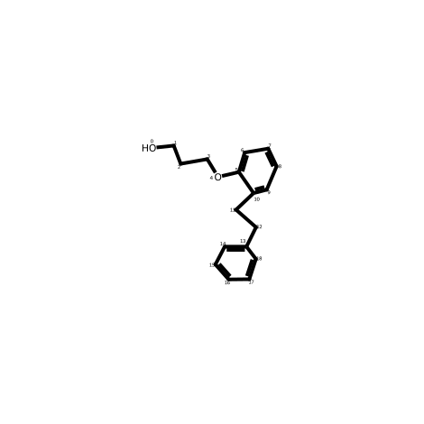 OCCCOc1ccccc1CCc1ccccc1